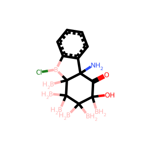 BC1(O)C(=O)C2(N)c3ccccc3B(Cl)C2(B)C(B)(B)C1(B)B